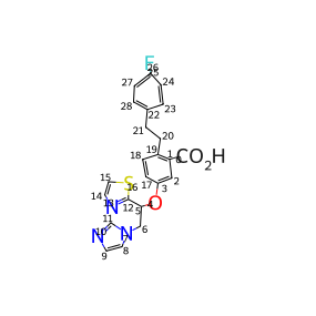 O=C(O)c1cc(OC(Cn2ccnc2)c2nccs2)ccc1CCc1ccc(F)cc1